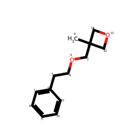 CC1(COCCc2ccccc2)COC1